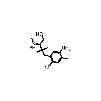 Cc1cc(Cl)c(CC(C)(C)C(CO)[SiH](C)C)cc1N